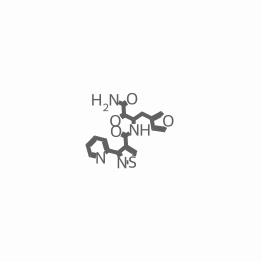 NC(=O)C(=O)C(Cc1ccoc1)NC(=O)c1csnc1-c1ccccn1